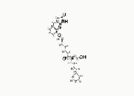 O=C1CN2Cc3cccc(OCCCCCCC(=O)N(CCO)CCCCC4CCCCC4)c3N=C2N1